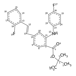 CC(C)(C)OC(=O)c1ccc(C=Cc2ccccc2F)cc1Nc1ccc(F)cc1